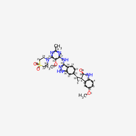 COc1ccc2c(c1)[C@]1(C[C@H]1c1ccc3c(Nc4nc(C)nc(N5CCS(=O)(=O)CC5)c4OC)n[nH]c3c1)C(=O)N2